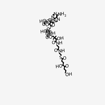 CC(C)(COP(=O)(O)OP(=O)(O)OC[C@H]1O[C@@H](n2cnc3c(N)ncnc32)[C@H](O)[C@@H]1OP(=O)(O)O)[C@@H](O)C(=O)NCCC(=O)NCCSC(=O)CCC(O)C(=O)CCCO